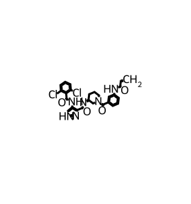 C=CC(=O)Nc1cccc(C(=O)N2CCC/C(=N/C(=O)c3n[nH]cc3NC(=O)c3c(Cl)cccc3Cl)C2)c1